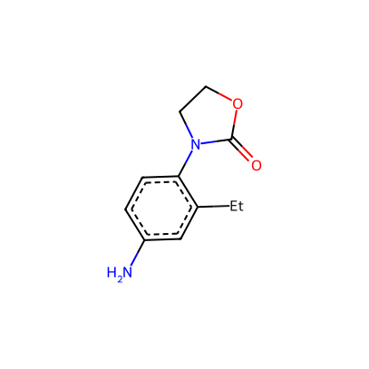 CCc1cc(N)ccc1N1CCOC1=O